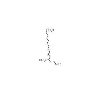 CCC=CCC(CC=CCCCCCCCC(=O)O)C(=O)O